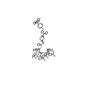 C[SiH](C)OC[C@H]([C@@H]1C(=O)N[C@@H]1CC(=O)S[C@H]1CCN(C(=O)OCc2ccc([N+](=O)[O-])cc2)C1)C(C)(C)C